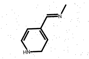 C/N=C/C1=CCNC=C1